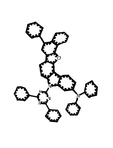 c1ccc(-c2nc(-c3ccccc3)nc(-n3c4cc(N(c5ccccc5)c5ccccc5)ccc4c4c5oc6c7ccccc7c(-c7ccccc7)cc6c5ccc43)n2)cc1